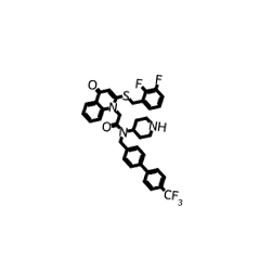 O=C(Cn1c(SCc2cccc(F)c2F)cc(=O)c2ccccc21)N(Cc1ccc(-c2ccc(C(F)(F)F)cc2)cc1)C1CCNCC1